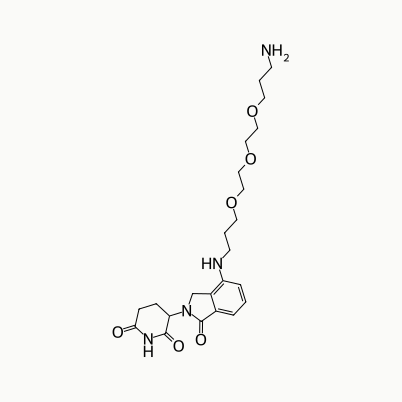 NCCCOCCOCCOCCCNc1cccc2c1CN(C1CCC(=O)NC1=O)C2=O